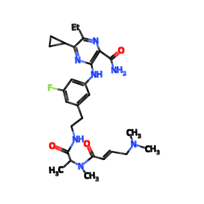 CCc1nc(C(N)=O)c(Nc2cc(F)cc(CCNC(=O)C(C)N(C)C(=O)C=CCN(C)C)c2)nc1C1CC1